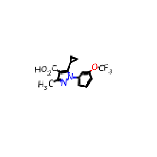 Cc1nn(-c2cccc(OC(F)(F)F)c2)c(C2CC2)c1C(=O)O